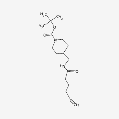 C#CCCCC(=O)NCC1CCN(C(=O)OC(C)(C)C)CC1